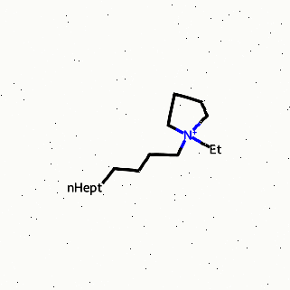 CCCCCCCCCCC[N+]1(CC)CCCC1